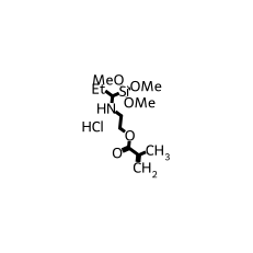 C=C(C)C(=O)OCCNC(CC)[Si](OC)(OC)OC.Cl